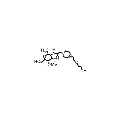 CO[C@@H]1C(CO)O[C@@H](C)C(NC(=O)CN2CCN(CCOCCO)CC2)C1O